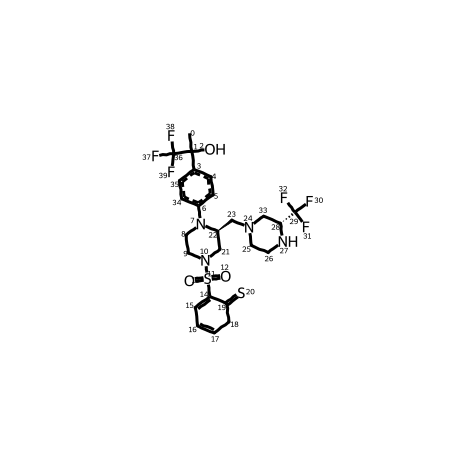 CC(O)(c1ccc(N2CCN(S(=O)(=O)C3=CC=CCC3=S)C[C@@H]2CN2CCN[C@@H](C(F)(F)F)C2)cc1)C(F)(F)F